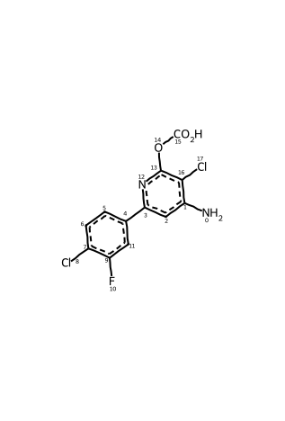 Nc1cc(-c2ccc(Cl)c(F)c2)nc(OC(=O)O)c1Cl